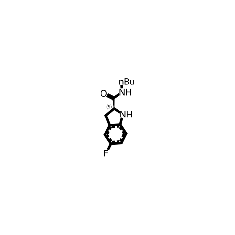 CCCCNC(=O)[C@@H]1Cc2cc(F)ccc2N1